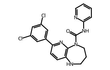 O=C(Nc1ccccn1)N1CCCNc2ccc(-c3cc(Cl)cc(Cl)c3)nc21